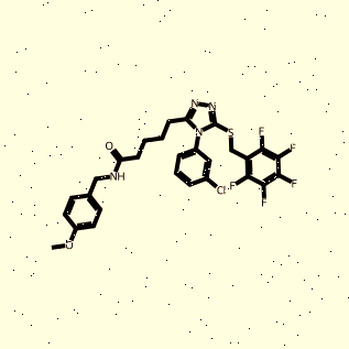 COc1ccc(CNC(=O)CCCCc2nnc(SCc3c(F)c(F)c(F)c(F)c3F)n2-c2cccc(Cl)c2)cc1